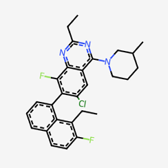 CCc1nc(N2CCCC(C)C2)c2cc(Cl)c(-c3cccc4ccc(F)c(CC)c34)c(F)c2n1